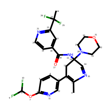 CC1=C(c2ccc(OC(F)F)nc2)CC(NC(=O)c2ccnc(C(C)(F)F)c2)(N2CCOCC2)C=N1